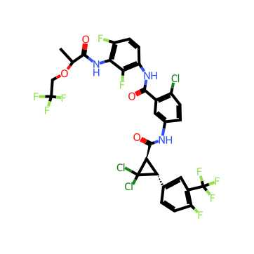 CC(OCC(F)(F)F)C(=O)Nc1c(F)ccc(NC(=O)c2cc(NC(=O)[C@H]3[C@H](c4ccc(F)c(C(F)(F)F)c4)C3(Cl)Cl)ccc2Cl)c1F